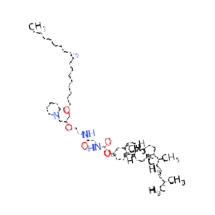 CCCCCCCC/C=C\CCCCCCCCOCC(CN1CCCCC1)OCCNC(=O)CNC(=O)O[C@H]1CC[C@@]2(C)C(=CC[C@H]3C4CCC(C(C)CCCC(C)C)[C@@]4(C)CC[C@@H]32)C1